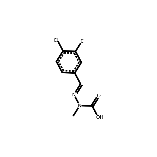 CN(N=Cc1ccc(Cl)c(Cl)c1)C(=O)O